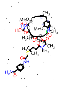 C=C(Cl)/C(=C\C1=C/CN(C)C(=O)C[C@H](OC(=O)[C@H](C)N(C)C(=O)CCC(C)(C)SCC(=O)Nc2ccc(C(N)=O)cc2)[C@]2(C)O[C@H]2[C@H](C)C2C[C@@](O)(N[C@H](O)O2)[C@H](OC)CC/C=C(\C)C1)OC